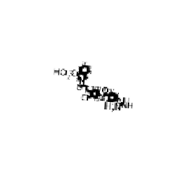 N=C(N)Nc1ccc(C(=O)Oc2ccc(CCC(=O)N(CCC(=O)O)Cc3ccccc3)c(Cl)c2)cc1